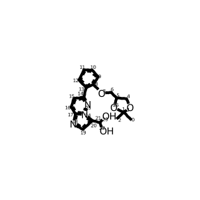 CC1(C)OCC(COc2ccccc2-c2ccc3ncc(C(O)O)n3n2)O1